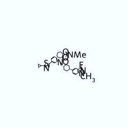 CNC(=O)OC1(C(=O)N(C[C@H]2CC[C@H](c3ccc4c(c3)c(F)nn4C)CC2)c2cccc(-c3cnc(C4CC4)s3)c2)CCCCC1